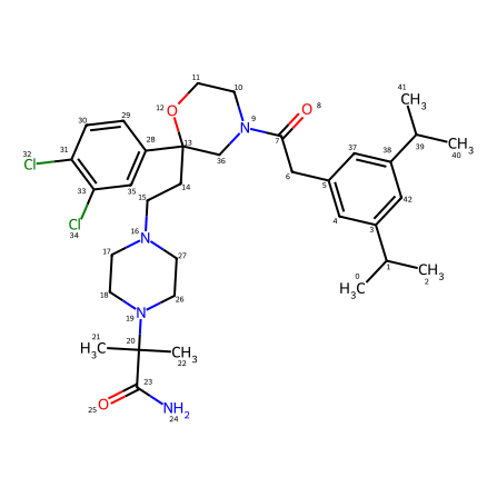 CC(C)c1cc(CC(=O)N2CCOC(CCN3CCN(C(C)(C)C(N)=O)CC3)(c3ccc(Cl)c(Cl)c3)C2)cc(C(C)C)c1